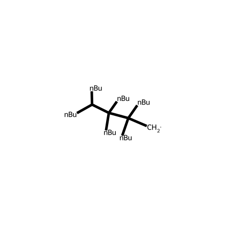 [CH2]C(CCCC)(CCCC)C(CCCC)(CCCC)[C](CCCC)CCCC